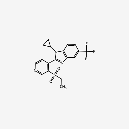 CCS(=O)(=O)c1cnccc1-c1nc2cc(C(F)(F)F)ccc2n1C1CC1